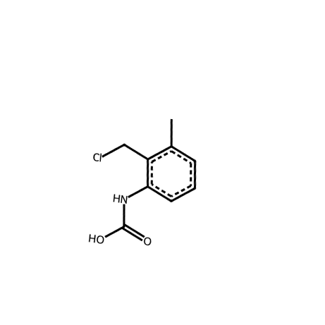 Cc1cccc(NC(=O)O)c1CCl